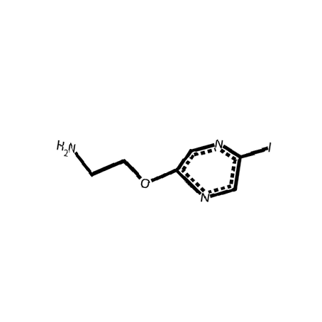 NCCOc1cnc(I)cn1